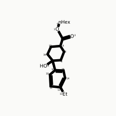 CCCCCCOC(=O)C1CCC(O)(c2ccc(CC)cc2)CC1